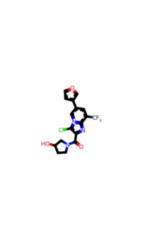 O=C(c1nc2c(C(F)(F)F)cc(-c3ccoc3)cn2c1Cl)N1CCC(O)C1